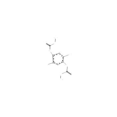 CC(C)(C)OC(=O)Nc1cc(Cl)c(OC(=O)OC(C)(C)C)cc1F